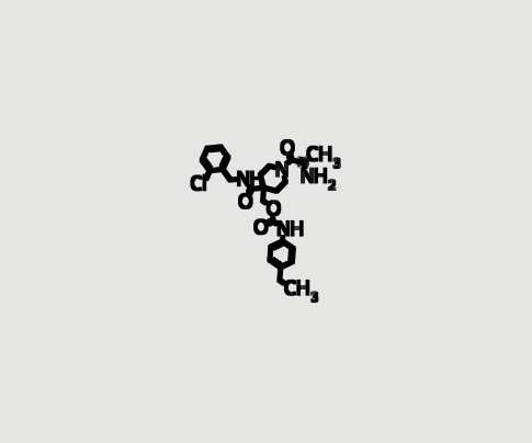 CCc1ccc(NC(=O)OCC2(C(=O)NCc3ccccc3Cl)CCN(C(=O)[C@@H](C)N)CC2)cc1